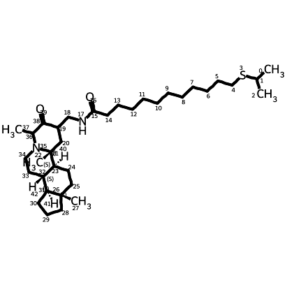 CC(C)SCCCCCCCCCCCC(=O)NCC1C[C@]2(C)[C@H]3CC[C@]4(C)CCC[C@H]4[C@@H]3CCN2C(C)C1=O